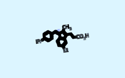 CCc1ccc2c(c1)C(CCC(=O)O)=C(C)/C2=C/c1ccc(C(C)C)cc1